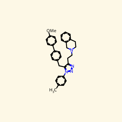 COc1ccc(-c2ccc(Cc3c(CCN4CCc5ccccc5C4)nnn3-c3ccc(C)cc3)cc2)cc1